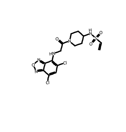 C=CS(=O)(=O)NC1CCN(C(=O)CNc2c(Cl)cc(Cl)c3nonc23)CC1